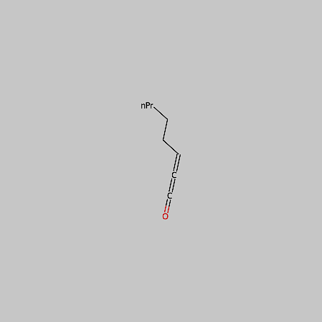 CCCCCC=C=C=O